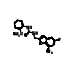 O=C(NCc1cc2cc(F)cc(C(F)(F)F)c2o1)Nc1ccccc1C(=O)O